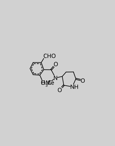 COc1cccc(C=O)c1C(=O)N(C)C1CCC(=O)NC1=O